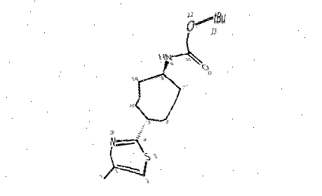 Cc1csc([C@H]2CC[C@H](NC(=O)OC(C)(C)C)CC2)n1